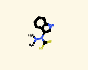 CN(C)N(C(=S)S)c1c[nH]c2ccccc12